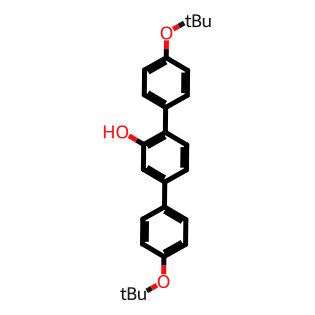 CC(C)(C)Oc1ccc(-c2ccc(-c3ccc(OC(C)(C)C)cc3)c(O)c2)cc1